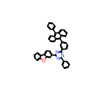 c1ccc(-c2nc(-c3cccc(-c4c5ccccc5c(-c5ccccc5)c5ccccc45)c3)nc(-c3ccc4c(c3)oc3ccccc34)n2)cc1